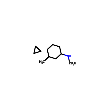 C1CC1.CC1CCCC(NC(=O)O)C1